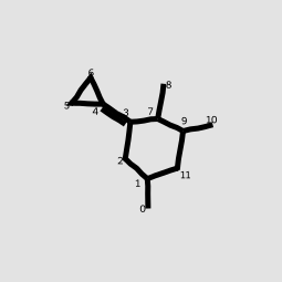 CC1CC(=C2CC2)C(C)C(C)C1